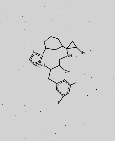 CC(=O)NC(Cc1cc(F)cc(F)c1)C(O)CNC1(C2CCCC(n3cccn3)C2)CC1C(C)C